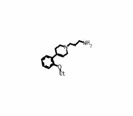 CCOc1ccccc1C1=CCN(CCCN)CC1